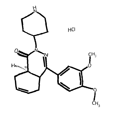 COc1ccc(C2=NN(C3CCNCC3)C(=O)[C@@H]3CC=CCC23)cc1OC.Cl